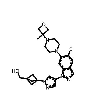 CC1(N2CCN(c3cc4c(cnn4-c4cnn(C56CC(CO)(C5)C6)c4)cc3Cl)CC2)COC1